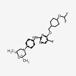 C[C@@H]1CN(c2ccc(Nc3ncc(F)c(OCC4CCC(OC(F)F)CC4)n3)cc2)C[C@H](C)O1